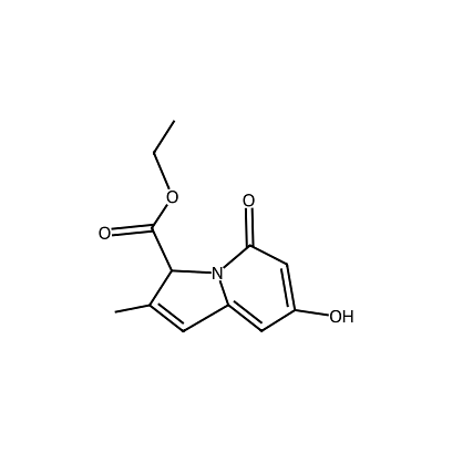 CCOC(=O)C1C(C)=Cc2cc(O)cc(=O)n21